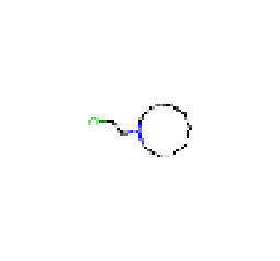 ClCCN1CCCCCCCCC1